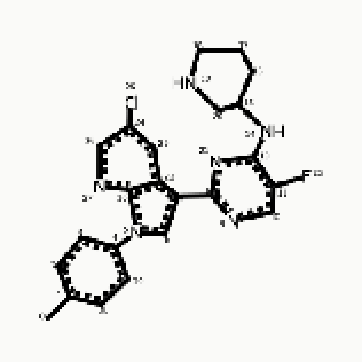 Cc1ccc(-n2cc(-c3ncc(F)c(NC4CCCNC4)n3)c3cc(Cl)cnc32)cc1